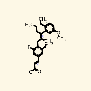 CCC/C(=C(/C)Cc1c(F)cc(/C=C/C(=O)O)cc1F)c1cc(OC)ccc1CC